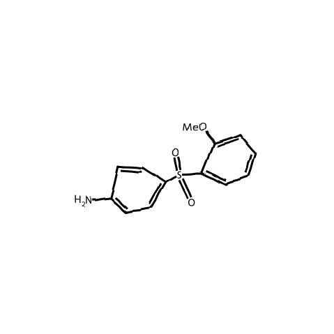 COc1ccccc1S(=O)(=O)c1ccc(N)cc1